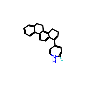 FC1=CC=C(C2=CCCc3c2ccc2c3CCc3ccccc3-2)C=CN1